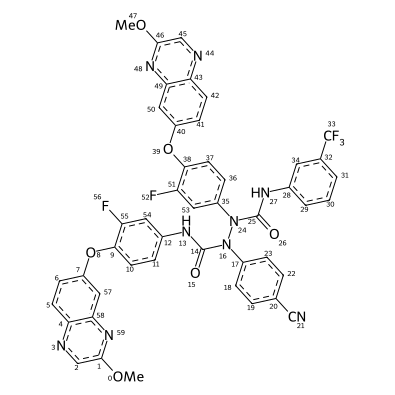 COc1cnc2ccc(Oc3ccc(NC(=O)N(c4ccc(C#N)cc4)N(C(=O)Nc4cccc(C(F)(F)F)c4)c4ccc(Oc5ccc6ncc(OC)nc6c5)c(F)c4)cc3F)cc2n1